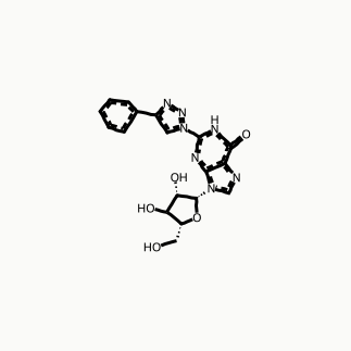 O=c1[nH]c(-n2cc(-c3ccccc3)nn2)nc2c1ncn2[C@@H]1O[C@H](CO)C(O)[C@@H]1O